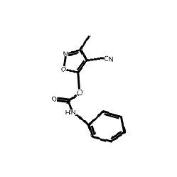 Cc1noc(OC(=O)Nc2ccccc2)c1C#N